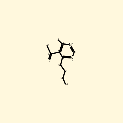 C=C(C)c1c(C)ncnc1CCCC